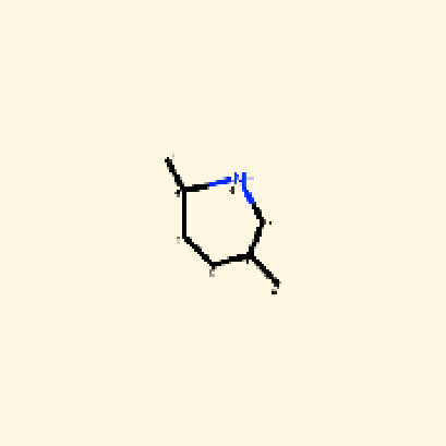 CC1[CH]CC(C)NC1